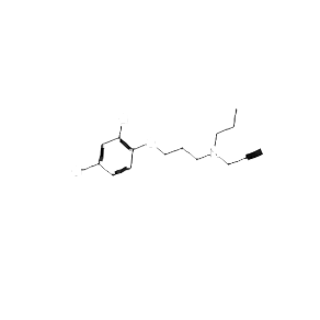 C#CCN(CC[CH2])CCCOc1ccc(Cl)cc1Cl